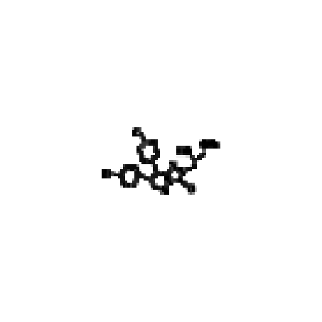 CC(C)COCC(O)Cn1nc2c(-c3ccc(Cl)cc3)c(-c3ccc(Cl)cc3)cnn2c1=O